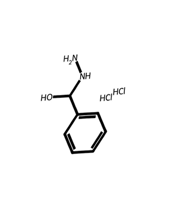 Cl.Cl.NNC(O)c1ccccc1